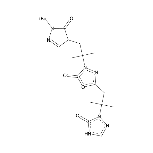 CC(C)(C)N1N=CC(CC(C)(C)n2nc(CC(C)(C)n3nc[nH]c3=O)oc2=O)C1=O